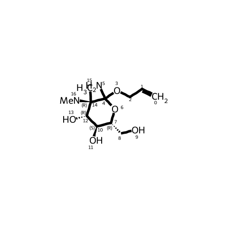 C=CCOC1(N)O[C@H](CO)[C@@H](O)[C@H](O)[C@@]1(C)NC